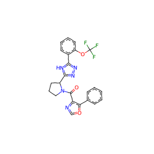 O=C(c1ncoc1-c1ccccc1)N1CCCC1c1nnc(-c2ccccc2OC(F)(F)F)[nH]1